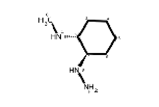 CN[C@@H]1CCCC[C@H]1NN